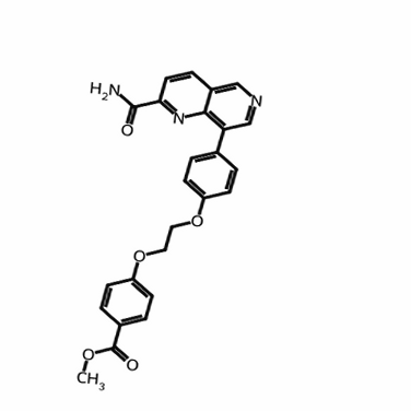 COC(=O)c1ccc(OCCOc2ccc(-c3cncc4ccc(C(N)=O)nc34)cc2)cc1